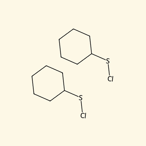 ClSC1CCCCC1.ClSC1CCCCC1